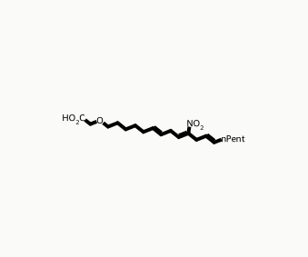 CCCCC/C=C/C/C(=C/C/C=C/CCCCCOCC(=O)O)[N+](=O)[O-]